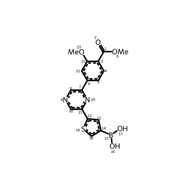 COC(=O)c1ccc(-c2cncc(-c3cc(B(O)O)cs3)n2)cc1OC